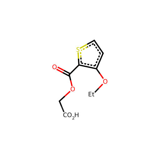 CCOc1ccsc1C(=O)OCC(=O)O